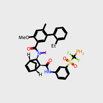 CCc1ccccc1-c1cc(C(=O)N(I)[C@H]2[C@@H](C(=O)Nc3cccc(S(=O)(=O)C(F)(F)P)c3)[C@@H]3C=C[C@H]2C3)c(OC)cc1C